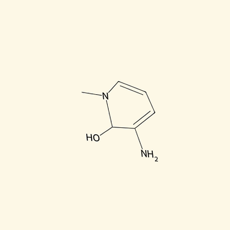 CN1C=CC=C(N)C1O